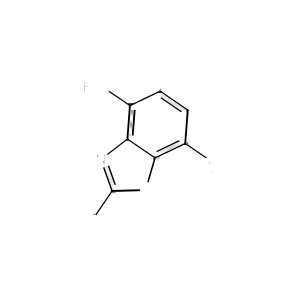 FC(F)(F)c1ccc(Cl)c2sc(I)nc12